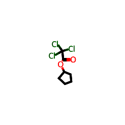 O=C(OC1CCCC1)C(Cl)(Cl)Cl